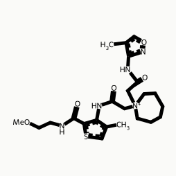 COCCNC(=O)c1scc(C)c1NC(=O)C[N+]1(CC(=O)Nc2nocc2C)CCCCCC1